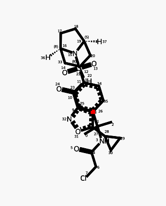 CC(C)(NC(=O)CCl)c1ccc(S(=O)(=O)N2[C@@H]3CC[C@H]2C[C@@H](NC(=O)c2cc(C4CC4)on2)C3)cc1